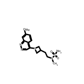 COc1ccc2c(N3CC(CCN(C)S(N)(=O)=O)C3)cnnc2c1